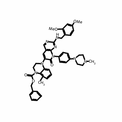 COc1ccc(CNc2ncc3cc(N4CCN(C(=O)OCc5ccccc5)c5c(C)cccc54)c(=O)n(-c4ccc(N5CCN(C)CC5)cc4)c3n2)c(OC)c1